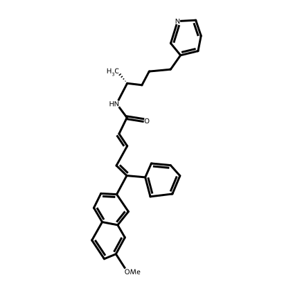 COc1ccc2ccc(/C(=C/C=C/C(=O)N[C@H](C)CCCc3cccnc3)c3ccccc3)cc2c1